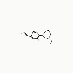 O=C(O)C=Cc1ccc(C2O[C@H](CO)[C@@H](O)[C@H](O)[C@H]2O)c(O)c1